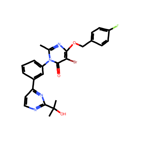 Cc1nc(OCc2ccc(F)cc2)c(Br)c(=O)n1-c1cccc(-c2ccnc(C(C)(C)O)n2)c1